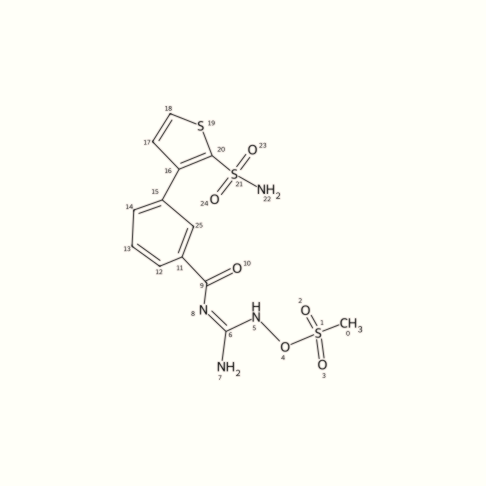 CS(=O)(=O)ONC(N)=NC(=O)c1cccc(-c2ccsc2S(N)(=O)=O)c1